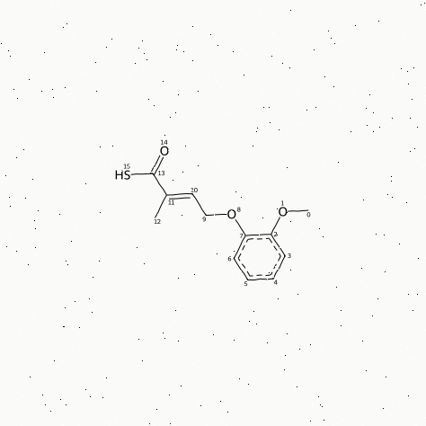 COc1ccccc1OC/C=C(\C)C(=O)S